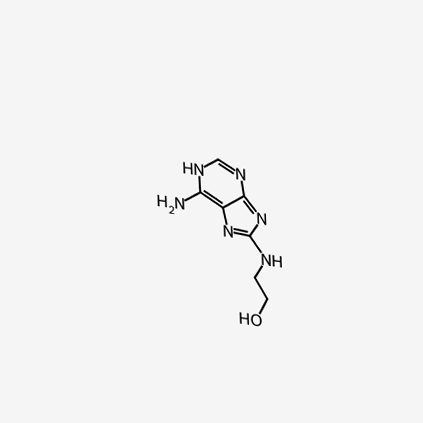 Nc1[nH]cnc2nc(NCCO)nc1-2